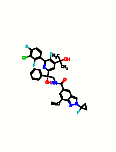 COc1cc(C(=O)NC[C@@](O)(c2ccccc2)c2cc(C(C)(C)O)c(F)c(-c3ccc(F)c(Cl)c3F)n2)cc2cn(C3(F)CC3)nc12